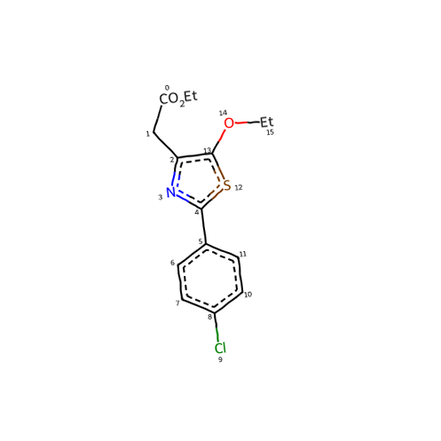 CCOC(=O)Cc1nc(-c2ccc(Cl)cc2)sc1OCC